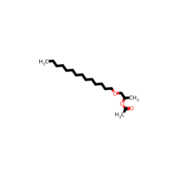 CCCCCCCCCCCCCCOCC(C)OC(C)=O